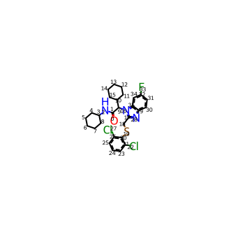 O=C(NC1CCCCC1)C(C1CCCCC1)n1c(CSc2c(Cl)cccc2Cl)nc2ccc(F)cc21